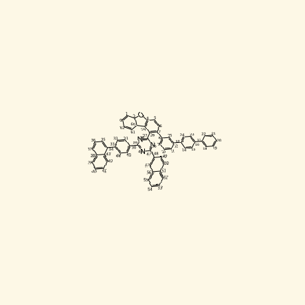 C1=CC2Oc3ccc(-c4cccc(-c5ccc(-c6ccccc6)cc5)c4)c(-c4nc(-c5ccc(-c6cccc7ccccc67)cc5)nc(-c5ccc6ccccc6c5)n4)c3C2C=C1